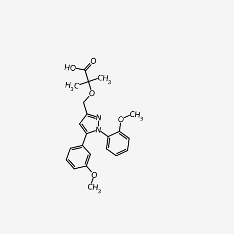 COc1cccc(-c2cc(COC(C)(C)C(=O)O)nn2-c2ccccc2OC)c1